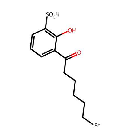 CC(C)CCCCCC(=O)c1cccc(S(=O)(=O)O)c1O